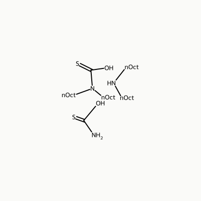 CCCCCCCCN(CCCCCCCC)C(O)=S.CCCCCCCCNCCCCCCCC.NC(O)=S